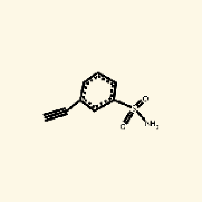 C#Cc1cccc(S(N)(=O)=O)c1